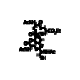 CCOC(=O)C(CSC(=O)C(CSC(=O)c1ccccc1OC(=O)C(CSC(=O)C(CS)NC(C)=O)NC(C)=O)NC(C)=O)NC(C)=O